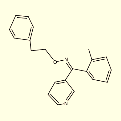 Cc1ccccc1C(=NOCCc1ccccc1)c1cccnc1